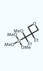 CCC1(C(CC)(OC)[Si](OC)(OC)OC)COC1